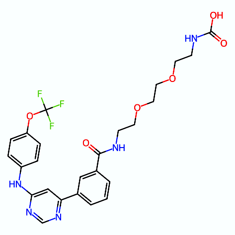 O=C(O)NCCOCCOCCNC(=O)c1cccc(-c2cc(Nc3ccc(OC(F)(F)F)cc3)ncn2)c1